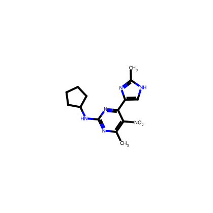 Cc1nc(-c2nc(NC3CCCC3)nc(C)c2[N+](=O)[O-])c[nH]1